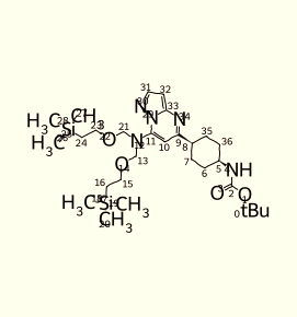 CC(C)(C)OC(=O)N[C@H]1CC[C@@H](c2cc(N(COCC[Si](C)(C)C)COCC[Si](C)(C)C)n3nccc3n2)CC1